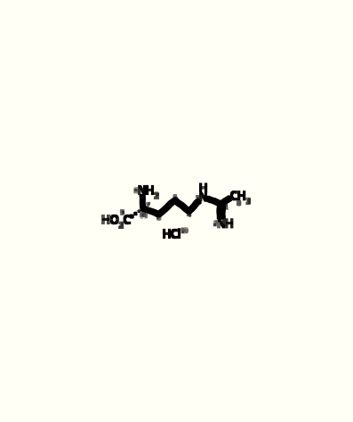 CC(=N)NCCC[C@@H](N)C(=O)O.Cl